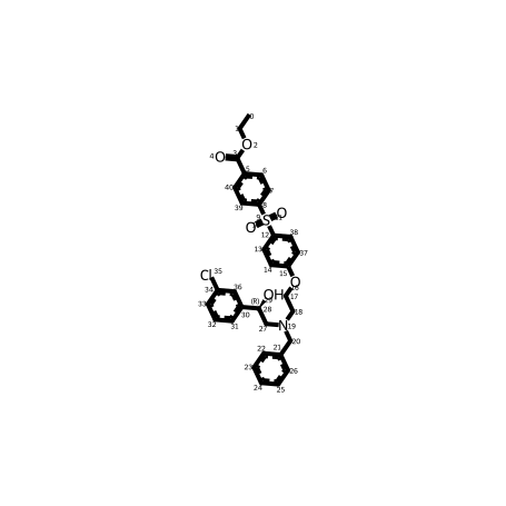 CCOC(=O)c1ccc(S(=O)(=O)c2ccc(OCCN(Cc3ccccc3)C[C@H](O)c3cccc(Cl)c3)cc2)cc1